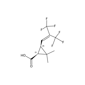 CC1(C)[C@H](C=C(C(F)(F)F)C(F)(F)F)[C@@H]1C(=O)O